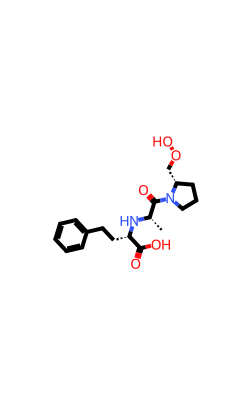 C[C@H](N[C@@H](CCc1ccccc1)C(=O)O)C(=O)N1CCC[C@H]1COO